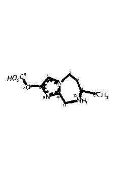 CC1CCn2cc(OC(=O)O)nc2CN1